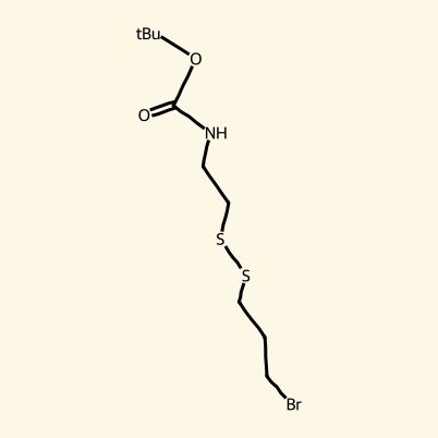 CC(C)(C)OC(=O)NCCSSCCCBr